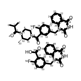 CC(C)C(=O)N1CCN(C(=O)c2cc(Cn3c(=O)[nH]c(=O)c4ccccc43)ccc2F)C[C@@H]1C.O=C(O)c1cc(Cn2c(=O)[nH]c(=O)c3ccccc32)ccc1F